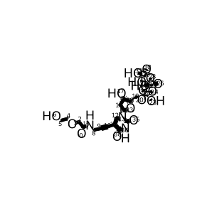 O=C(COCCO)NCC#Cc1cn([C@H]2C[C@@H](O)[C@@H](COP(=O)(O)OP(=O)(O)OP(=O)(O)O)O2)c(=O)[nH]c1=O